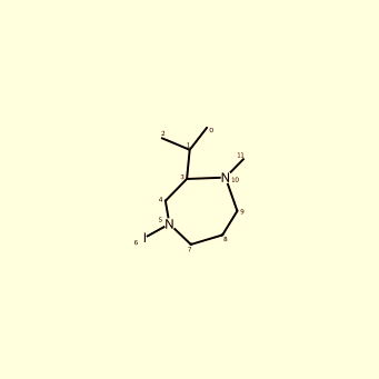 CC(C)C1CN(I)CCCN1C